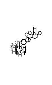 [2H]C1([2H])NC([2H])([2H])C([2H])([2H])N(c2cc3c(cc2F)C(=O)N(C2CCC(=O)NC2=O)C3)C1([2H])[2H]